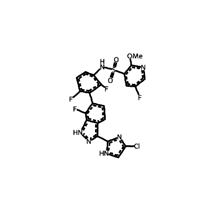 COc1ncc(F)cc1S(=O)(=O)Nc1ccc(F)c(-c2ccc3c(-c4nc(Cl)c[nH]4)n[nH]c3c2F)c1F